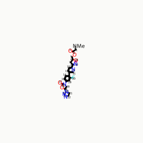 CNCC(=O)OCC1CC(c2ccc(-c3ccc(N4C[C@H](N5CCN=N5)OC4=O)cc3F)cn2)=NO1